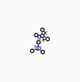 CC1(C)c2ccccc2-c2c1c1c(c3c2c2ccccc2n3-c2ccc(-c3nc(-c4ccccc4)cc(-c4ccccc4)n3)cc2)C(C)(C)c2ccccc2-1